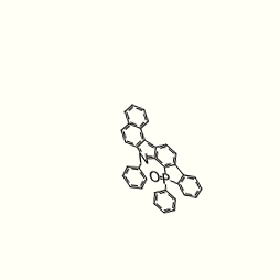 O=P1(c2ccccc2)c2ccccc2-c2ccc3c4c5ccccc5ccc4n(-c4ccccc4)c3c21